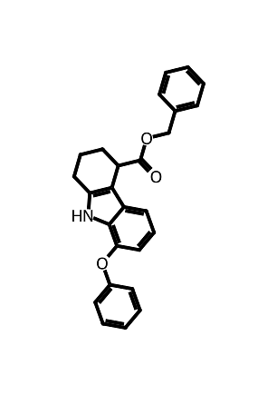 O=C(OCc1ccccc1)C1CCCc2[nH]c3c(Oc4ccccc4)cccc3c21